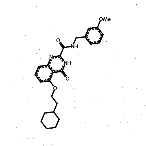 COc1cccc(CNC(=O)c2nc3cccc(OCCC4CCCCC4)c3c(=O)[nH]2)c1